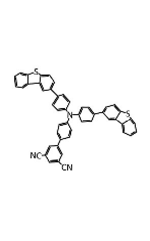 N#Cc1cc(C#N)cc(-c2ccc(N(c3ccc(-c4ccc5sc6ccccc6c5c4)cc3)c3ccc(-c4ccc5sc6ccccc6c5c4)cc3)cc2)c1